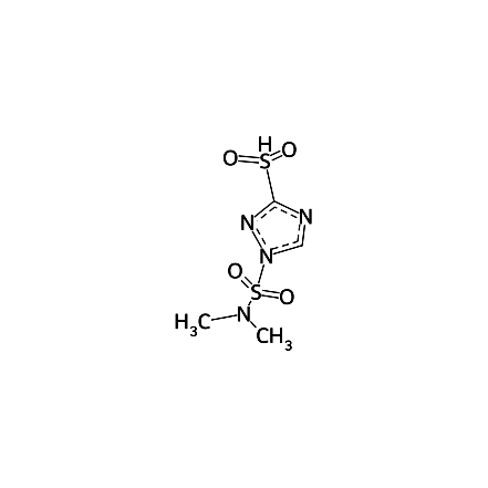 CN(C)S(=O)(=O)n1cnc([SH](=O)=O)n1